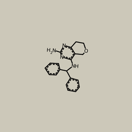 Nc1nc2c(c(NC(c3ccccc3)c3ccccc3)n1)COCC2